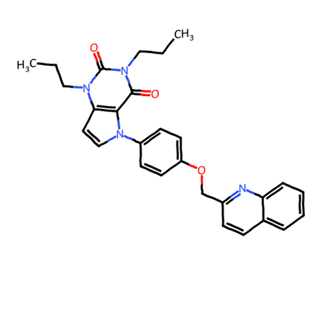 CCCn1c(=O)c2c(ccn2-c2ccc(OCc3ccc4ccccc4n3)cc2)n(CCC)c1=O